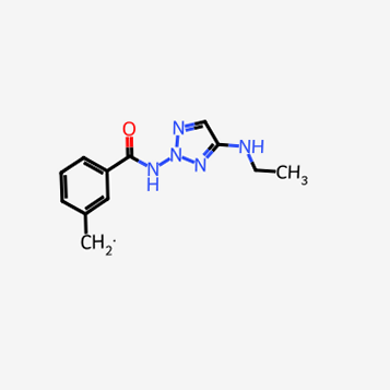 [CH2]c1cccc(C(=O)Nn2ncc(NCC)n2)c1